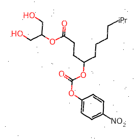 CC(C)CCCCC(CCC(=O)OC(CO)CO)OC(=O)Oc1ccc([N+](=O)[O-])cc1